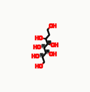 OCCC(O)[C@@H](O)[C@@H](O)[C@H](O)[C@@H](O)CO